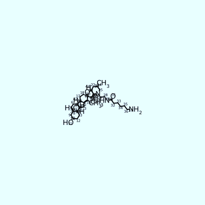 CC1=C2C[C@H]3[C@@H](CC=C4C[C@@H](O)CC[C@@]43C)[C@@H]2CC[C@]12O[C@@H]1C[C@H](C)CN(CCNC(=O)CCCCCN)[C@H]1[C@H]2C